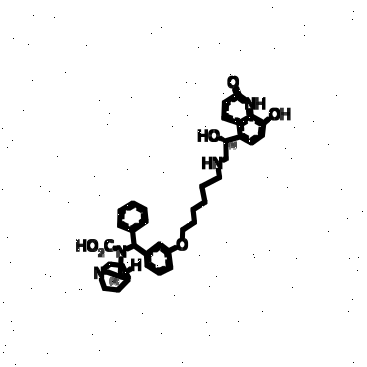 O=C(O)N(C(c1ccccc1)c1cccc(OCCCCCCNC[C@@H](O)c2ccc(O)c3[nH]c(=O)ccc23)c1)[C@H]1CN2CCC1CC2